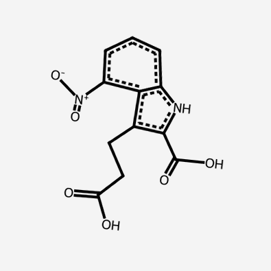 O=C(O)CCc1c(C(=O)O)[nH]c2cccc([N+](=O)[O-])c12